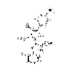 CCOC(=O)c1c(N(Cc2c(F)cccc2F)C(=O)OC)sc(-c2ccc([N+](=O)[O-])cc2)c1CC